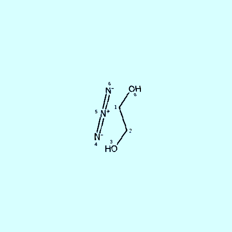 OCCO.[N-]=[N+]=[N-]